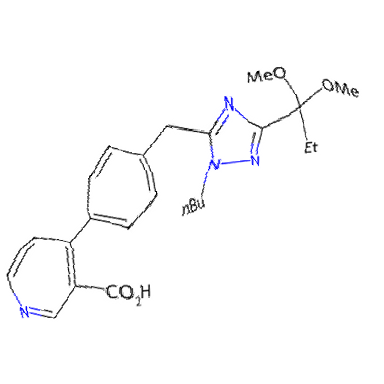 CCCCn1nc(C(CC)(OC)OC)nc1Cc1ccc(-c2ccncc2C(=O)O)cc1